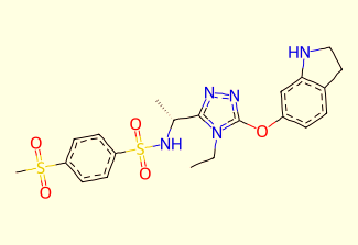 CCn1c(Oc2ccc3c(c2)NCC3)nnc1[C@@H](C)NS(=O)(=O)c1ccc(S(C)(=O)=O)cc1